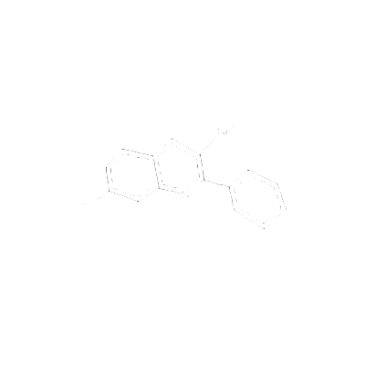 Nc1cc2ccc(F)cc2nc1-c1ccccc1